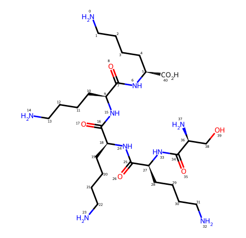 NCCCC[C@H](NC(=O)[C@H](CCCCN)NC(=O)[C@H](CCCCN)NC(=O)[C@H](CCCCN)NC(=O)[C@@H](N)CO)C(=O)O